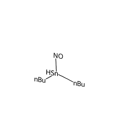 CCC[CH2][SnH]([CH2]CCC)[N]=O